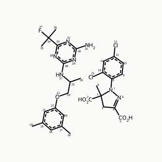 CC1(C(=O)O)CC(C(=O)O)=NN1c1ccc(Cl)cc1Cl.Cc1cc(C)cc(OCC(C)Nc2nc(N)nc(C(C)(C)F)n2)c1